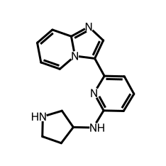 c1cc(NC2CCNC2)nc(-c2cnc3ccccn23)c1